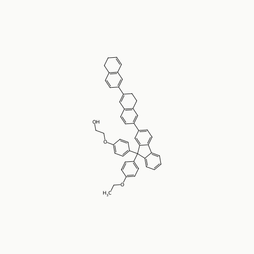 CCOc1ccc(C2(c3ccc(OCCO)cc3)c3ccccc3-c3ccc(-c4ccc5c(c4)CCC(c4ccc6c(c4)C=CCC6)=C5)cc32)cc1